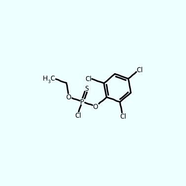 CCOP(=S)(Cl)Oc1c(Cl)cc(Cl)cc1Cl